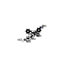 CC[C@H](C)[C@H](NC(=O)CN(C(=O)O)C(C)(C)C)C(=O)N[C@@H](Cc1ccccc1)[C@H](O)CN(CC(C)C)S(=O)(=O)c1ccc(/C=N/O)cc1